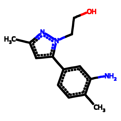 Cc1cc(-c2ccc(C)c(N)c2)n(CCO)n1